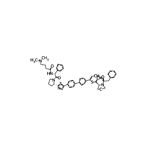 C=C(S/C(=C\C)c1ccc(-c2ccc(-c3cnc([C@@H]4CCCN4C(=O)[C@H](NC(=O)CCCN(C)C)c4ccccc4)s3)cc2)cc1)[C@@H]1CCCN1C(=O)Cc1ccccc1